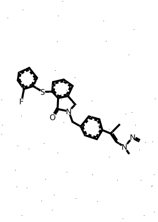 C=NN(C)/C=C(\C)c1ccc(CN2Cc3cccc(Sc4ccccc4F)c3C2=O)cc1